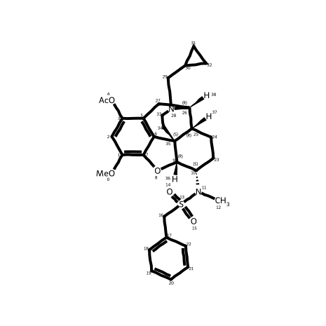 COc1cc(OC(C)=O)c2c3c1O[C@H]1[C@@H](N(C)S(=O)(=O)Cc4ccccc4)CC[C@H]4[C@@H](C2)N(CC2CC2)CC[C@@]341